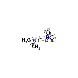 CC1CC(C)CN(CCCCCC(=O)n2c3ccccc3c3ccccc32)C1